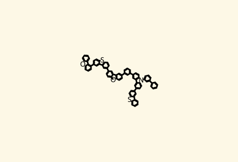 c1ccc(-c2cccc(-n3c4ccc(-c5cccc(-c6ccc7oc8ccc(-c9ccc%10sc%11ccc(-c%12cccc%13oc%14ccccc%14c%12%13)cc%11c%10c9)cc8c7c6)c5)cc4c4cc(-c5ccc6sc7ccccc7c6c5)ccc43)c2)cc1